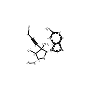 Nc1ncc2ncn([C@@H]3O[C@H](CO)C(N=O)[C@]3(N)C#CCF)c2n1